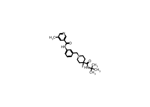 Cc1cncc(C(=O)Nc2cccc(CN3CCC(F)(C(=O)NC(C)(C)C)CC3)c2)c1